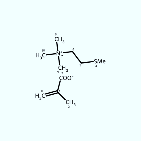 C=C(C)C(=O)[O-].CSCC[N+](C)(C)C